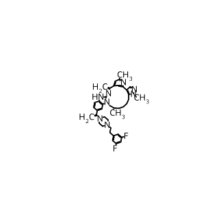 C=C1/N=C2\Nc3ccc(C(=C)N4CCN(CCc5cc(F)cc(F)c5)CC4)cc3N2C[C@H](C)CCCCc2c(cnn2C)-c2cc1cc(C)n2